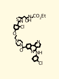 CCOC(=O)CNC(=O)Cc1csc(-c2ccc(OCCN3CCN(C(=O)c4ccc5c(c4)nc(Nc4cccc(Cl)c4)c4ccncc45)CC3)cc2Cl)n1